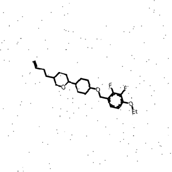 C=CCCC1CCC(C2CCC(OCc3ccc(OCC)c(F)c3F)CC2)OC1